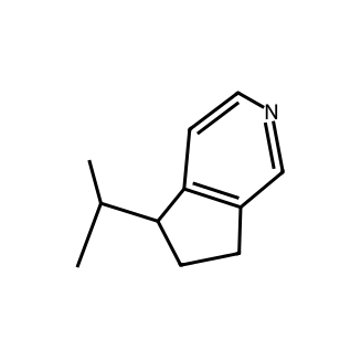 CC(C)C1CCc2cnccc21